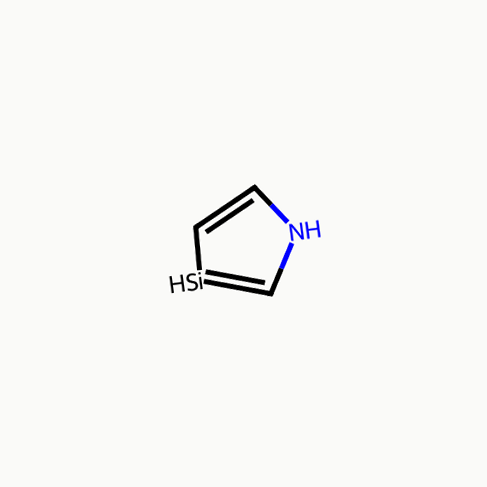 c1c[siH]c[nH]1